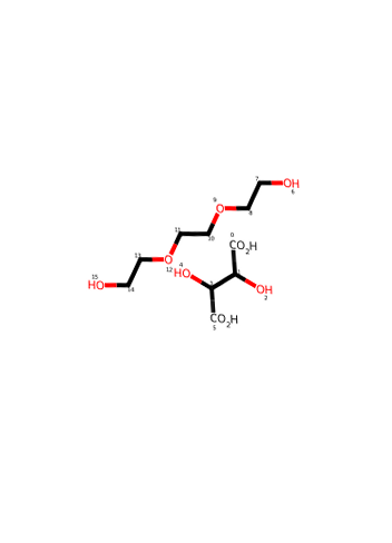 O=C(O)C(O)C(O)C(=O)O.OCCOCCOCCO